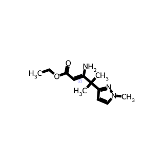 CCOC(=O)/C=C(\N)C(C)(C)c1ccn(C)n1